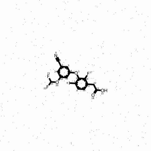 N#Cc1cc(Oc2c(I)ccc(CC(=O)O)c2F)cc(OC(F)F)c1